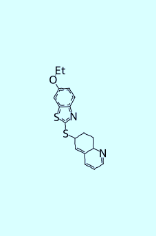 CCOc1ccc2nc(SC3C=C4C=CC=NC4CC3)sc2c1